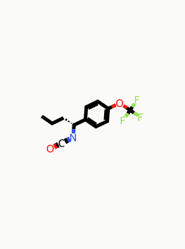 CCC[C@@H](N=C=O)c1ccc(OC(F)(F)F)cc1